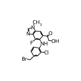 Cn1cnc2c(F)c(Nc3ccc(CBr)cc3Cl)c(C(=O)CO)cc21